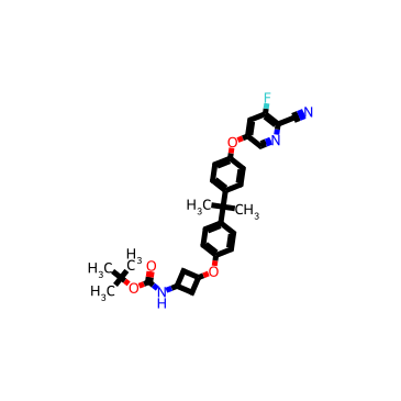 CC(C)(C)OC(=O)NC1CC(Oc2ccc(C(C)(C)c3ccc(Oc4cnc(C#N)c(F)c4)cc3)cc2)C1